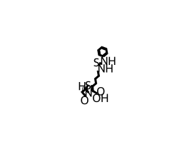 O=C(O)C1=C(CCCCNC(=S)Nc2ccccc2)S[C@@H]2CC(=O)N12